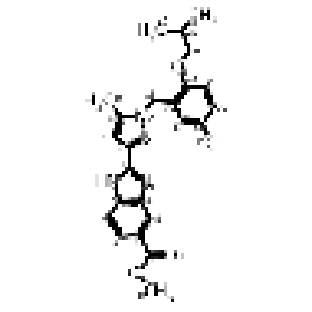 COC(=O)c1ccc2[nH]c(-c3cc(C)n(Cc4cc(Cl)ccc4OCC(C)C)n3)nc2c1